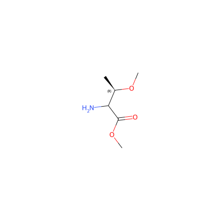 COC(=O)C(N)[C@@H](C)OC